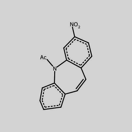 CC(=O)N1c2ccccc2C=Cc2ccc([N+](=O)[O-])cc21